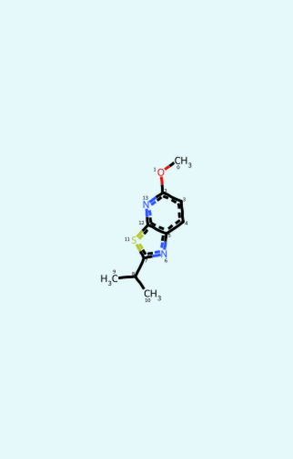 COc1ccc2nc(C(C)C)sc2n1